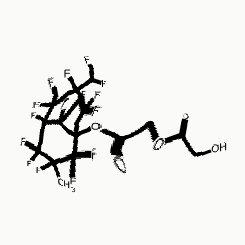 CC1(F)C(F)(F)C2(F)C(F)(F)C(F)(C(F)F)C(F)(F)C(OC(=O)COC(=O)CO)(C1(F)F)C2(F)F